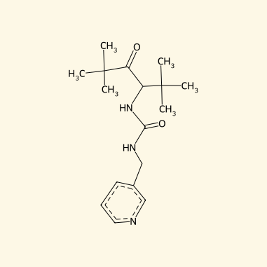 CC(C)(C)C(=O)C(NC(=O)NCc1cccnc1)C(C)(C)C